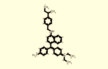 CCC(C)c1ccc(CNc2ccc(C(=C3C=CC(=[N+](CC)CC)C=C3)c3ccc(C)cc3)c3ccccc23)cc1